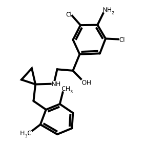 Cc1cccc(C)c1CC1(NCC(O)c2cc(Cl)c(N)c(Cl)c2)CC1